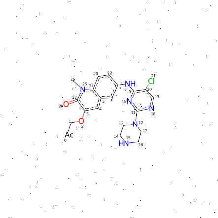 CC(=O)COc1cc2cc(Nc3nc(N4CCNCC4)ncc3Cl)ccc2n(C)c1=O